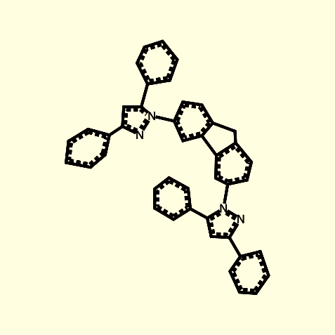 c1ccc(-c2cc(-c3ccccc3)n(-c3ccc4c(c3)-c3cc(-n5nc(-c6ccccc6)cc5-c5ccccc5)ccc3C4)n2)cc1